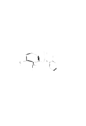 [CH2]c1ccccc1NCc1cccc(F)c1F